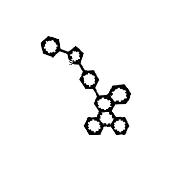 c1ccc(-c2ccc(-c3ccc(-c4cc5c6ccccc6c6ccccc6c5c5ccccc45)cc3)s2)cc1